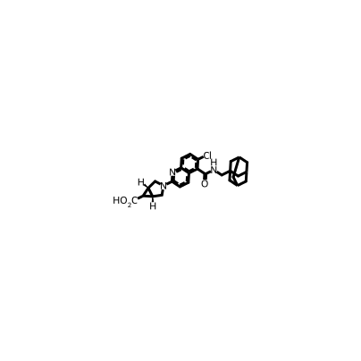 O=C(NCC12CC3CC(CC(C3)C1)C2)c1c(Cl)ccc2nc(N3C[C@@H]4C(C(=O)O)[C@@H]4C3)ccc12